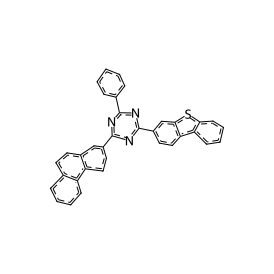 c1ccc(-c2nc(-c3ccc4c(ccc5ccccc54)c3)nc(-c3ccc4c(c3)sc3ccccc34)n2)cc1